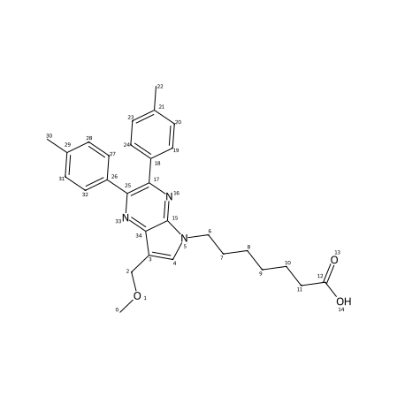 COCc1cn(CCCCCCC(=O)O)c2nc(-c3ccc(C)cc3)c(-c3ccc(C)cc3)nc12